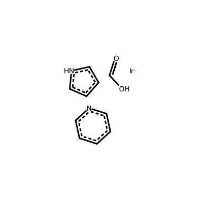 O=CO.[Ir].c1cc[nH]c1.c1ccncc1